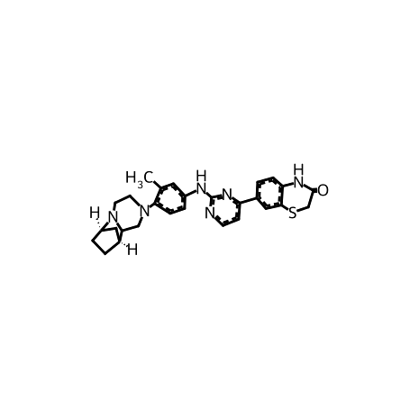 Cc1cc(Nc2nccc(-c3ccc4c(c3)SCC(=O)N4)n2)ccc1N1CCN2C(C1)[C@H]1CC[C@@H]2C1